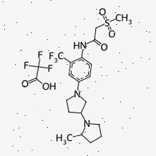 CC1CCCN1C1CCN(c2ccc(NC(=O)CS(C)(=O)=O)c(C(F)(F)F)c2)C1.O=C(O)C(F)(F)F